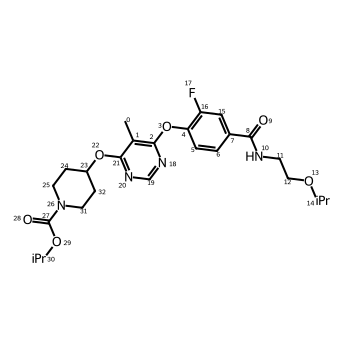 Cc1c(Oc2ccc(C(=O)NCCOC(C)C)cc2F)ncnc1OC1CCN(C(=O)OC(C)C)CC1